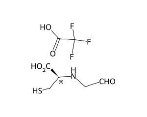 O=C(O)C(F)(F)F.O=CCN[C@@H](CS)C(=O)O